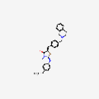 CN1C(=O)/C(=C/c2ccc(CN3CCc4ccccc4C3)cc2)S/C1=N/c1ccc(CC(=O)O)cc1